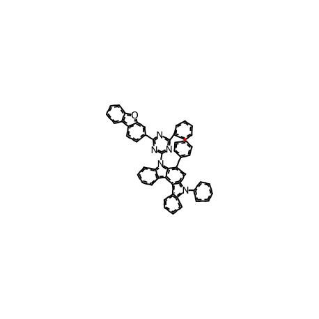 c1ccc(-c2nc(-c3ccc4c(c3)oc3ccccc34)nc(-n3c4ccccc4c4c5c6ccccc6n(-c6ccccc6)c5cc(-c5ccccc5)c43)n2)cc1